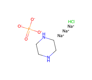 C1CNCCN1.Cl.O=P([O-])([O-])[O-].[Na+].[Na+].[Na+]